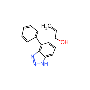 C=CCO.c1ccc(-c2cccc3[nH]nnc23)cc1